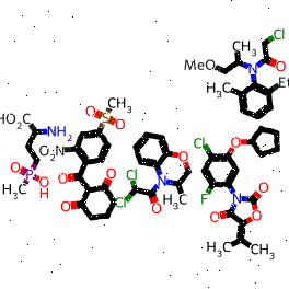 CC(C)=C1OC(=O)N(c2cc(OC3CCCC3)c(Cl)cc2F)C1=O.CC1COc2ccccc2N1C(=O)C(Cl)Cl.CCc1cccc(C)c1N(C(=O)CCl)C(C)COC.CP(=O)(O)CCC(N)C(=O)O.CS(=O)(=O)c1ccc(C(=O)C2C(=O)CCCC2=O)c([N+](=O)[O-])c1